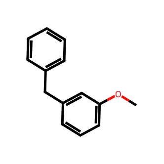 COc1cccc(Cc2ccccc2)c1